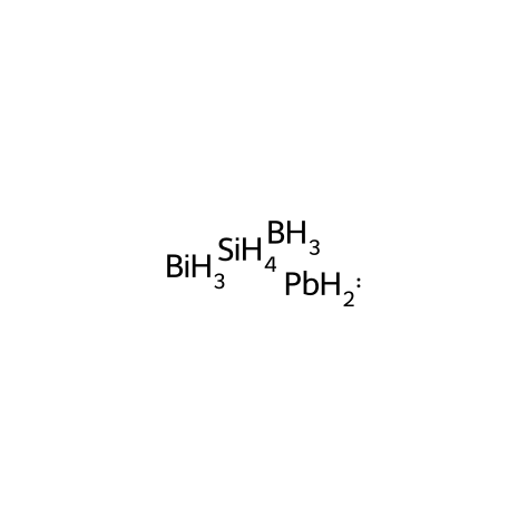 B.[BiH3].[PbH2].[SiH4]